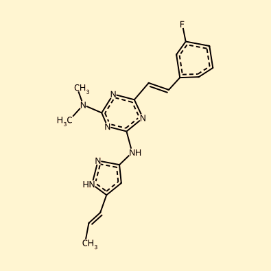 C/C=C/c1cc(Nc2nc(/C=C/c3cccc(F)c3)nc(N(C)C)n2)n[nH]1